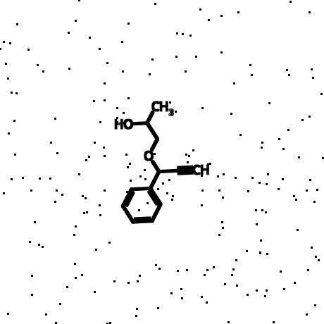 C#CC(OCC(C)O)c1ccccc1